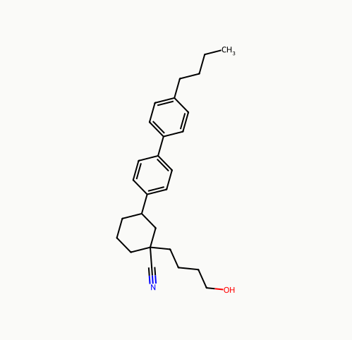 CCCCc1ccc(-c2ccc(C3CCCC(C#N)(CCCCO)C3)cc2)cc1